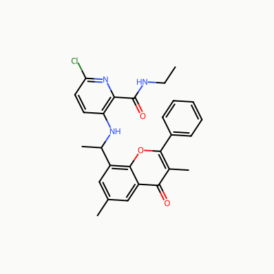 CCNC(=O)c1nc(Cl)ccc1NC(C)c1cc(C)cc2c(=O)c(C)c(-c3ccccc3)oc12